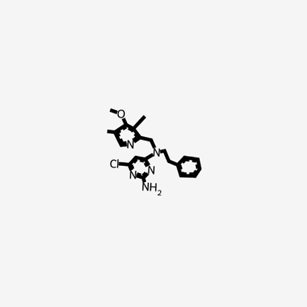 COc1c(C)cnc(CN(CCc2ccccc2)c2cc(Cl)nc(N)n2)c1C